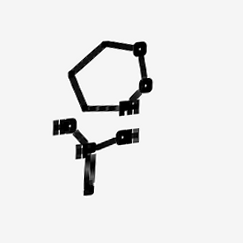 C1COOPC1.O[PH](O)=S